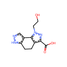 O=C(O)c1nn(CCO)c2c1CCc1[nH]ncc1-2